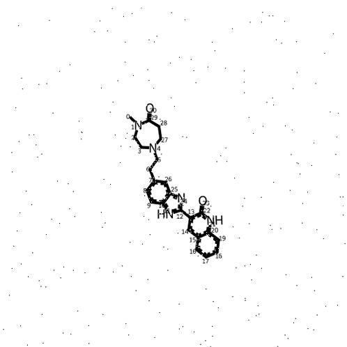 CN1CCN(CCc2ccc3[nH]c(-c4cc5ccccc5[nH]c4=O)nc3c2)CCC1=O